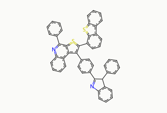 c1ccc(-c2nc3ccccc3c3c(-c4ccc(C5=Nc6ccccc6C5c5ccccc5)cc4)c(-c4cccc5c4sc4ccccc45)sc23)cc1